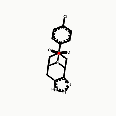 O=S(=O)(c1ccc(Cl)cc1)N1C2CCCC1c1nn[nH]c1C2